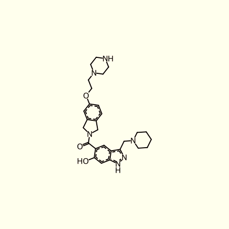 O=C(c1cc2c(CN3CCCCC3)n[nH]c2cc1O)N1Cc2ccc(OCCN3CCNCC3)cc2C1